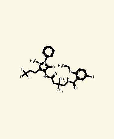 CCOc1ccc(Cl)cc1C(=O)NCC(C)(C)CC(=O)Nc1c(CCC(F)(F)F)n(C)n(-c2ccccc2)c1=O